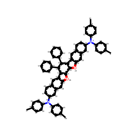 Cc1ccc(N(c2ccc(C)cc2)c2ccc3cc4c(cc3c2)oc2c3oc5cc6cc(N(c7ccc(C)cc7)c7ccc(C)cc7)ccc6cc5c3c(-c3ccccc3)c(-c3ccccc3)c42)cc1